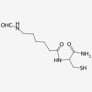 NC(=O)C(CS)NC(=O)CCCCCNC=O